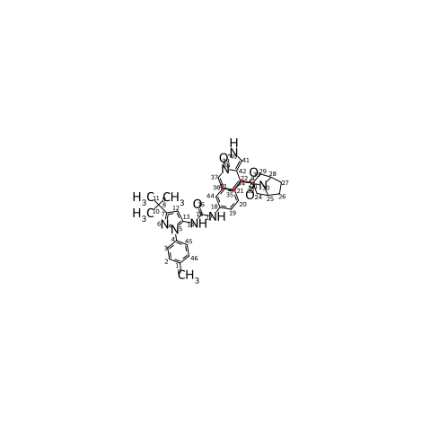 Cc1ccc(-n2nc(C(C)(C)C)cc2NC(=O)Nc2ccc(CC3CC4CCC(C3)N4S(=O)(=O)C3=CC=CN4ONC=C34)cc2)cc1